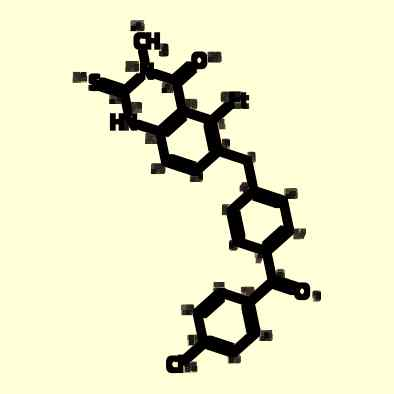 CCc1c(Cc2ccc(C(=O)c3ccc(Cl)cc3)cc2)ccc2[nH]c(=S)n(C)c(=O)c12